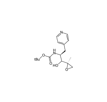 CC(C)(C)OC(=O)N[C@@H](Cc1ccncc1)C(O)[C@@]1(C)CO1